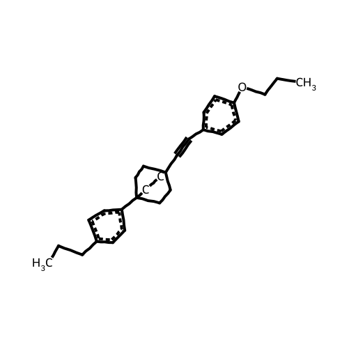 CCCOc1ccc(C#CC23CCC(c4ccc(CCC)cc4)(CC2)CC3)cc1